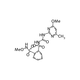 CONS(=O)(=O)c1ccccc1S(=O)(=O)NC(=O)Nc1nc(C)cc(OC)n1